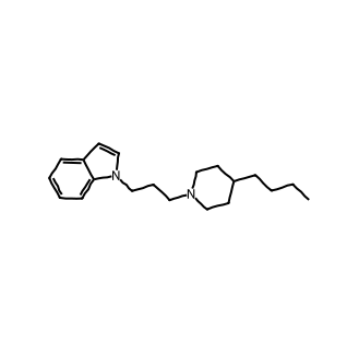 CCCCC1CCN(CCCn2ccc3ccccc32)CC1